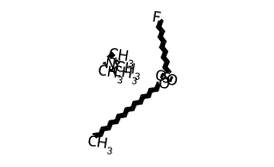 CCCCCCCCCCCCCCCCCCOS(=O)(=O)CCCCCCCCCCCF.CC[N+](CC)(CC)CC